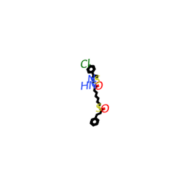 O=C(CCCCCCSC(=O)CCc1ccccc1)Nc1nc(-c2ccc(Cl)cc2)cs1